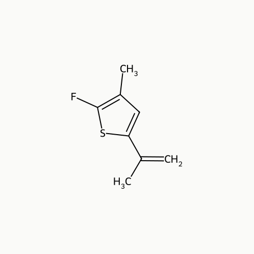 C=C(C)c1cc(C)c(F)s1